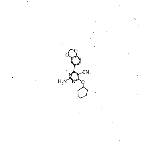 N#Cc1c(OC2CCCCC2)nc(N)nc1-c1ccc2c(c1)OCO2